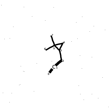 C=C=CC1CC1(C)C